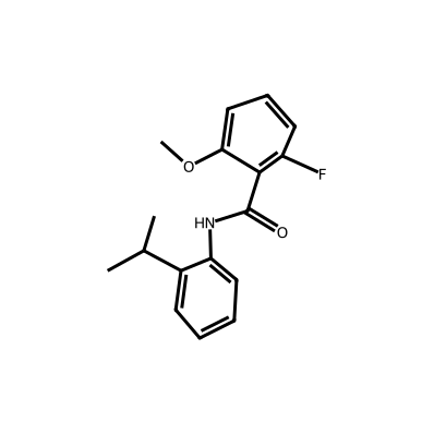 COc1cccc(F)c1C(=O)Nc1ccccc1C(C)C